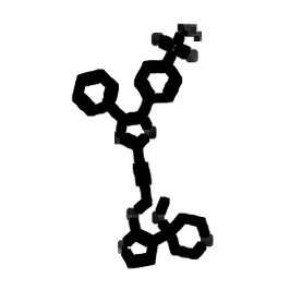 COC1(c2ccsc2OCC#Cc2nc(-c3ccccc3)c(-c3ccc(S(N)(=O)=O)cc3)o2)CCOCC1